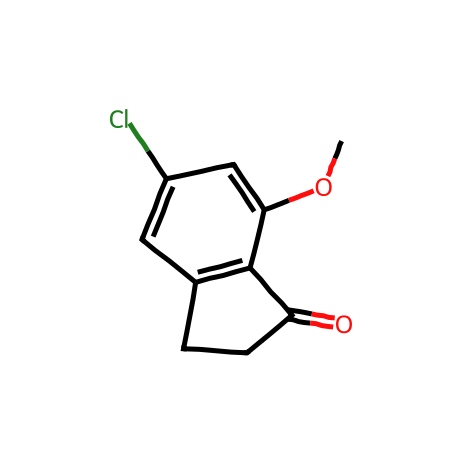 COc1cc(Cl)cc2c1C(=O)CC2